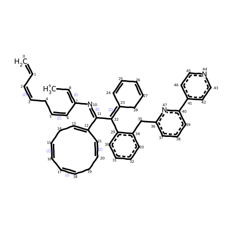 C=C/C=C\C\C=C/C(=C\C)/N=C(C1=CC/C=C\C=C/C/C=C\1)/C(=C1\C=CC=CC1)c1ccccc1Cc1cccc(-c2ccncc2)n1